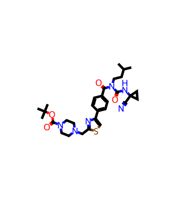 CC(C)CCN(C(=O)NC1(C#N)CC1)C(=O)c1ccc(-c2csc(CN3CCN(C(=O)OC(C)(C)C)CC3)n2)cc1